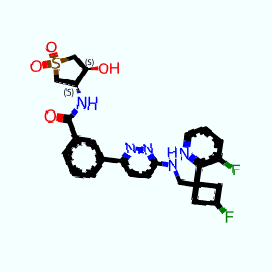 O=C(N[C@@H]1CS(=O)(=O)C[C@H]1O)c1cccc(-c2ccc(NCC3(c4ncccc4F)CC(F)C3)nn2)c1